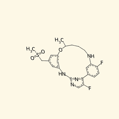 CC1CCCNc2cc(ccc2F)-c2nc(ncc2F)Nc2cc(CS(C)(=O)=O)cc(c2)O1